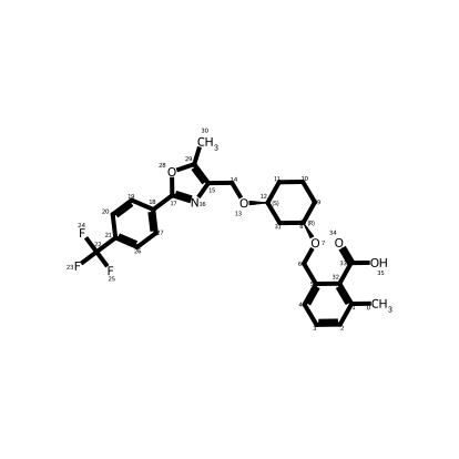 Cc1cccc(CO[C@@H]2CCC[C@H](OCc3nc(-c4ccc(C(F)(F)F)cc4)oc3C)C2)c1C(=O)O